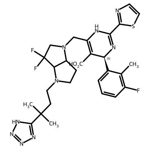 Cc1c(F)cccc1[C@@H]1N=C(c2nccs2)NC(CN2CC(F)(F)C3C2CCN3CCC(C)(C)c2nnn[nH]2)=C1C(=O)O